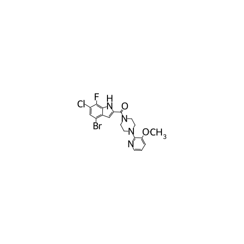 COc1cccnc1N1CCN(C(=O)c2cc3c(Br)cc(Cl)c(F)c3[nH]2)CC1